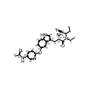 CCC(C#N)N(CC)C(=O)[C@@H](N)Cc1c[nH]c2ccc(Oc3ccc(NC(C)=O)cn3)cc12